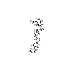 O=C(NCC(=O)N1CCC(N2CCC(c3ccccc3)CC2)C1)c1cc2cccc(C(F)(F)F)c2[nH]1